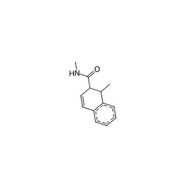 CNC(=O)C1C=Cc2ccccc2C1C